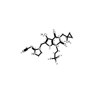 Cc1c(CN2CCNC2=NC#N)sc2c1c(=O)n(CC1(C)CC1)c(=O)n2CCC(F)(F)F